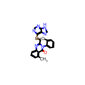 COc1ccccc1-n1c(CSc2ncnc3[nH]cnc23)nc2cccc(C)c2c1=O